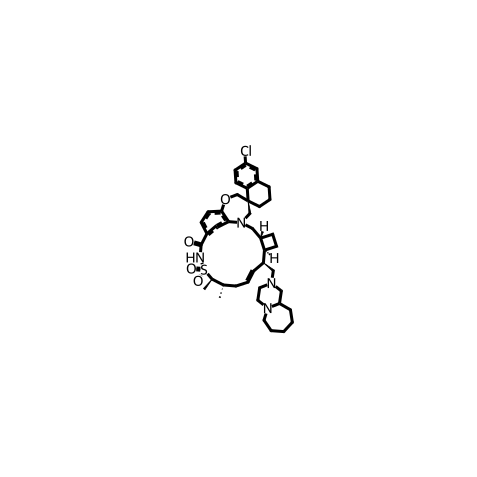 C[C@@H]1[C@@H](C)C/C=C/[C@H](CN2CCN3CCCCCC3C2)[C@@H]2CC[C@H]2CN2C[C@@]3(CCCc4cc(Cl)ccc43)COc3ccc(cc32)C(=O)NS1(=O)=O